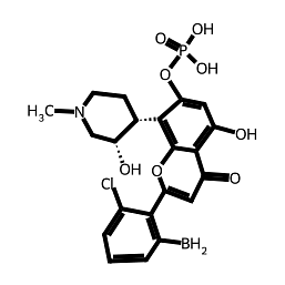 Bc1cccc(Cl)c1-c1cc(=O)c2c(O)cc(OP(=O)(O)O)c([C@H]3CCN(C)C[C@H]3O)c2o1